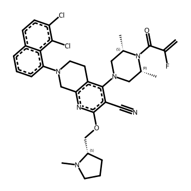 C=C(F)C(=O)N1[C@H](C)CN(c2c(C#N)c(OC[C@@H]3CCCN3C)nc3c2CCN(c2cccc4ccc(Cl)c(Cl)c24)C3)C[C@@H]1C